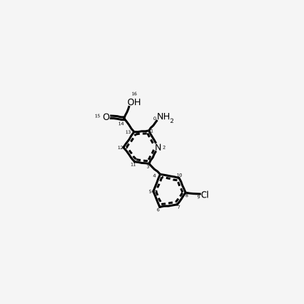 Nc1nc(-c2cccc(Cl)c2)ccc1C(=O)O